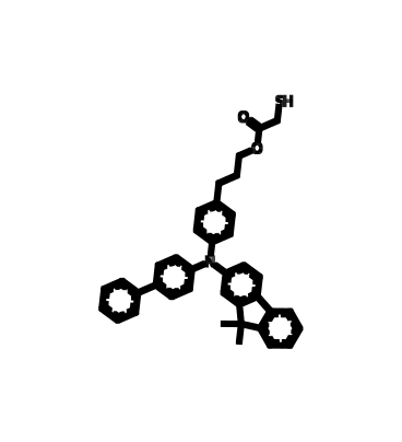 CC1(C)c2ccccc2-c2ccc(N(c3ccc(CCCOC(=O)CS)cc3)c3ccc(-c4ccccc4)cc3)cc21